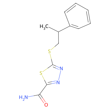 CC(CSc1nnc(C(N)=O)s1)c1ccccc1